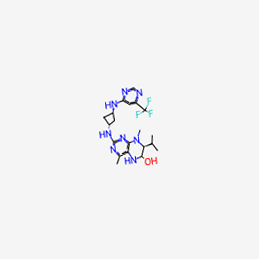 Cc1nc(N[C@H]2C[C@H](Nc3cc(C(F)(F)F)ncn3)C2)nc2c1NC(O)[C@H](C(C)C)N2C